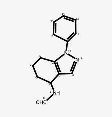 O=CNC1CCCc2c1cnn2-c1ccccc1